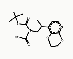 CC(CN(C(=O)O)C(=O)OC(C)(C)C)c1ccnc2c1OCCO2